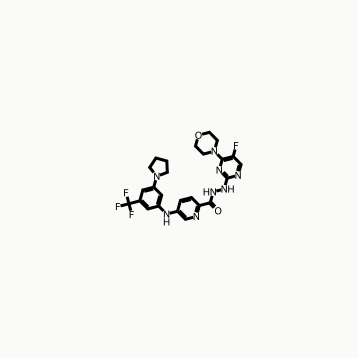 O=C(NNc1ncc(F)c(N2CCOCC2)n1)c1ccc(Nc2cc(N3CCCC3)cc(C(F)(F)F)c2)cn1